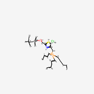 CCCC[P+](CCCC)(CCCC)Cc1csc(CO[Si](C)(C)C(C)(C)C)n1.[Cl-]